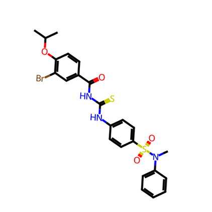 CC(C)Oc1ccc(C(=O)NC(=S)Nc2ccc(S(=O)(=O)N(C)c3ccccc3)cc2)cc1Br